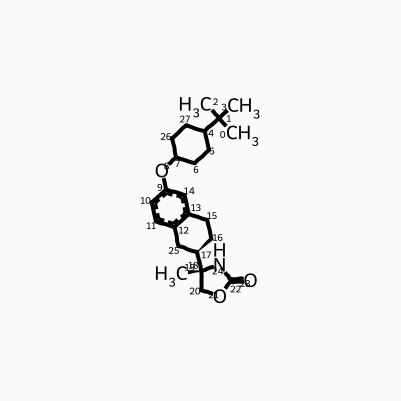 CC(C)(C)C1CCC(Oc2ccc3c(c2)CC[C@@H]([C@@]2(C)COC(=O)N2)C3)CC1